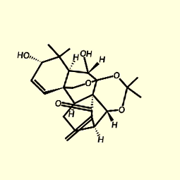 C=C1C(=O)[C@@]23[C@@H]4OC(C)(C)OC25OC[C@]2(C=C[C@H](O)C(C)(C)[C@H]2[C@@H]5O)[C@@H]3CC[C@@H]14